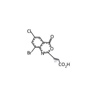 O=C(O)/C=C/c1nc2c(Br)cc(Cl)cc2c(=O)o1